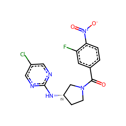 O=C(c1ccc([N+](=O)[O-])c(F)c1)N1CC[C@H](Nc2ncc(Cl)cn2)C1